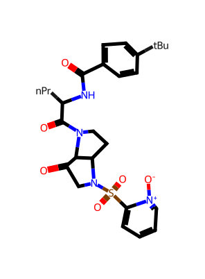 CCCC(NC(=O)c1ccc(C(C)(C)C)cc1)C(=O)N1CCC2C1C(=O)CN2S(=O)(=O)c1cccc[n+]1[O-]